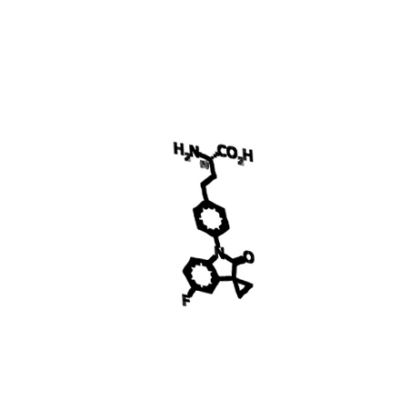 N[C@@H](CCc1ccc(N2C(=O)C3(CC3)c3cc(F)ccc32)cc1)C(=O)O